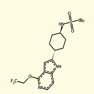 CC(C)(C)S(=O)(=O)N[C@H]1CC[C@H](c2cc3c(OCC(F)(F)F)nccc3[nH]2)CC1